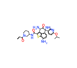 C=CC(=O)N1CCCC(NC(=O)c2sc3c(N)ccc4c3c2C(N)C(=O)C4(N)c2ccc(OC(C)C)nc2C)C1